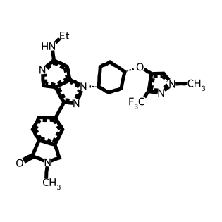 CCNc1cc2c(cn1)c(-c1ccc3c(c1)CN(C)C3=O)nn2[C@H]1CC[C@@H](Oc2cn(C)nc2C(F)(F)F)CC1